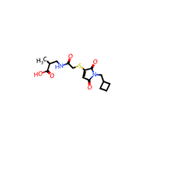 CC(CNC(=O)CSC1=CC(=O)N(CC2CCC2)C1=O)C(=O)O